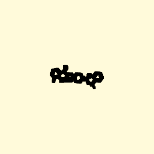 Cc1cccc2c(=O)n(CC3(O)CCN(C(=O)C[C@@H](C)c4ccccc4)CC3)cnc12